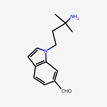 CC(C)(N)CCn1ccc2ccc(C=O)cc21